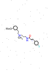 COc1cccc(CCN(C)CCCNC(=O)/C=C/c2ccc(F)cc2)c1